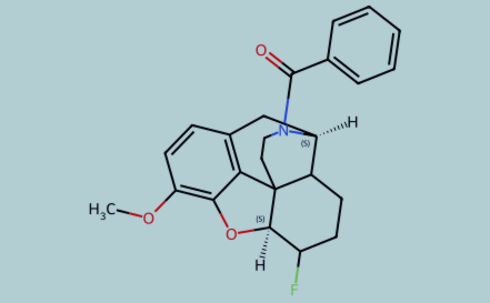 COc1ccc2c3c1O[C@@H]1C(F)CCC4[C@H](C2)N(C(=O)c2ccccc2)CCC341